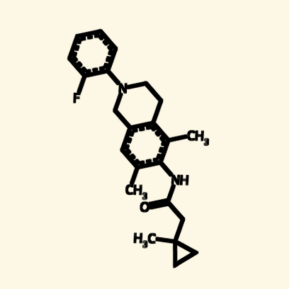 Cc1cc2c(c(C)c1NC(=O)CC1(C)CC1)CCN(c1ccccc1F)C2